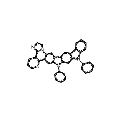 c1ccc(-n2c3ccccc3c3cc4c5cc6c(cc5n(-c5ccccc5)c4cc32)c2ncccc2c2nccn62)cc1